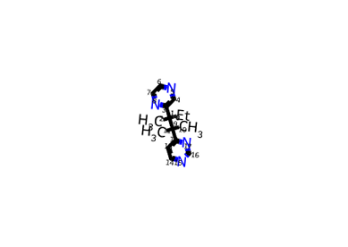 CCC(C)(c1cnccn1)C(C)(C)c1ccncn1